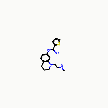 CNCCN1CCCc2ccc(NC(=N)c3cccs3)cc21